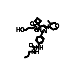 CCCNC(=O)Nc1ccc(-c2nc(N3CCOC[C@@H]3C)cc(C3(S(=O)(=O)CCCO)CCC3)n2)cc1